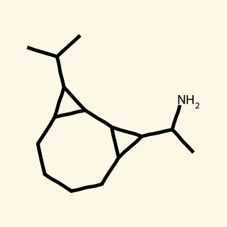 CC(C)C1C2CCCCC3C(C(C)N)C3C21